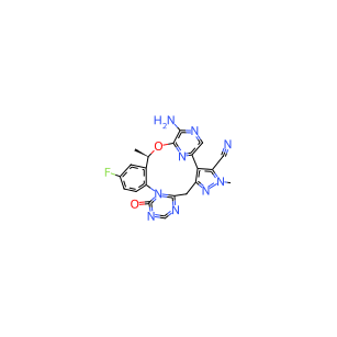 C[C@H]1Oc2nc(cnc2N)-c2c(nn(C)c2C#N)Cc2ncnc(=O)n2-c2ccc(F)cc21